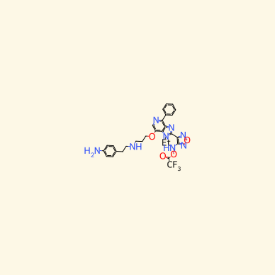 CCn1c(-c2nonc2NOC(=O)C(F)(F)F)nc2c(-c3ccccc3)ncc(OCCCNCCc3ccc(N)cc3)c21